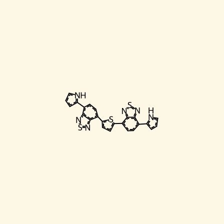 c1c[nH]c(-c2ccc(-c3ccc(-c4ccc(-c5ccc[nH]5)c5nsnc45)s3)c3nsnc23)c1